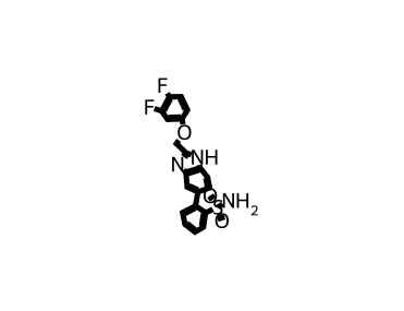 NS(=O)(=O)c1ccccc1-c1ccc2[nH]c(COc3ccc(F)c(F)c3)nc2c1